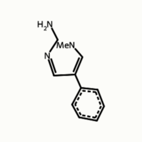 CN/C=C(\C=N/CN)c1ccccc1